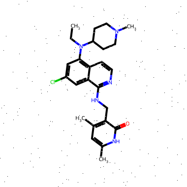 CCN(c1cc(Cl)cc2c(NCc3c(C)cc(C)[nH]c3=O)nccc12)C1CCN(C)CC1